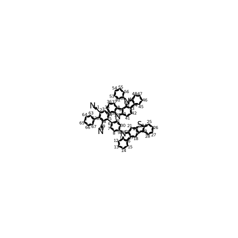 N#Cc1ccc(-c2ccc(-n3c4ccccc4c4cc5c(cc43)sc3ccccc35)cc2-n2c3ccccc3c3c2ccc2c4ccccc4n(-c4ccccc4)c23)c(C#N)c1-c1ccccc1